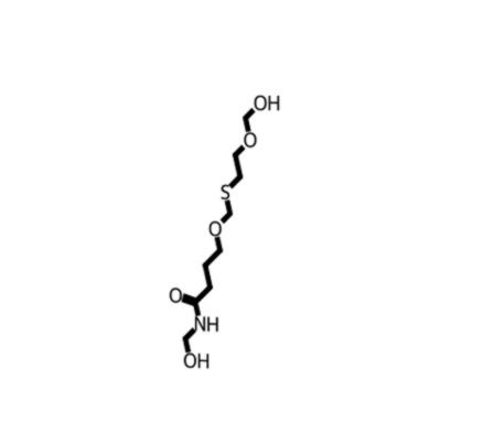 O=C(CCCOCSCCOCO)NCO